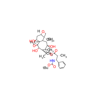 CC1=C2[C@@H](O)C(=O)[C@@]3(C)C([C@H](C)[C@](O)(C[C@@H]1OC(=O)[C@H](C)[C@@H](NC(=O)OC(C)(C)C)c1ccccc1)C2(C)C)[C@]1(C)CO[C@@H]1C[C@@H]3O